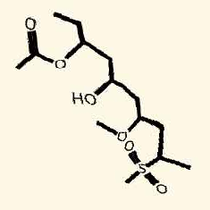 CCC(CC(O)CC(CC(C)S(C)(=O)=O)OC)OC(C)=O